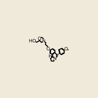 COc1ccc([C@H]2CN3CCC[C@H]3c3cc(OCCCN4CCOC(CO)C4)ccc32)cc1